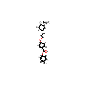 CCCCCCC[C@H]1CC[C@H](CCCOc2ccc(C(=O)Oc3ccc(CC)cc3)cc2)CC1